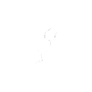 C=CC(Cl)[S+]([O-])c1ccccc1